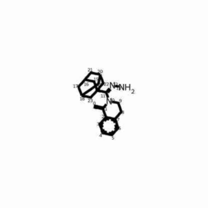 C=C1c2ccccc2CCN1/C(=N\N)C12CC3CC(CC(C3)C1)C2